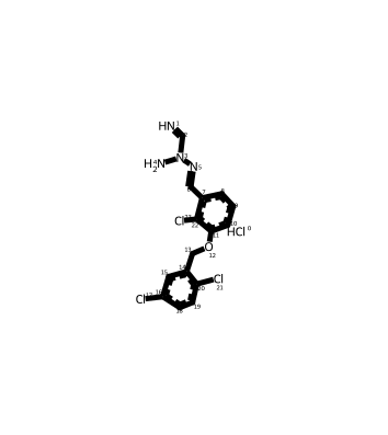 Cl.N=CN(N)N=Cc1cccc(OCc2cc(Cl)ccc2Cl)c1Cl